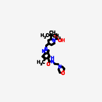 Cc1cc2nn(CC3CCN(C(=O)O)C(C(C)(C)C)C3)cc2cc1C(=O)NCCN1CCOCC1